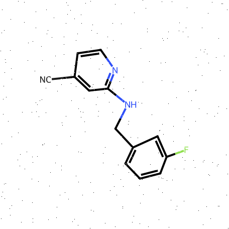 N#Cc1ccnc(NCc2cccc(F)c2)c1